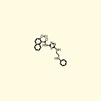 CCOc1ccc2ccccc2c1C(=O)Nc1nnc(NCCNc2ccccc2)s1